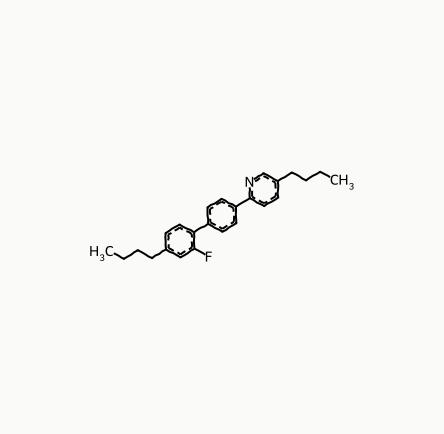 CCCCc1ccc(-c2ccc(-c3ccc(CCCC)cc3F)cc2)nc1